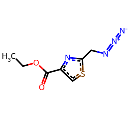 CCOC(=O)c1csc(CN=[N+]=[N-])n1